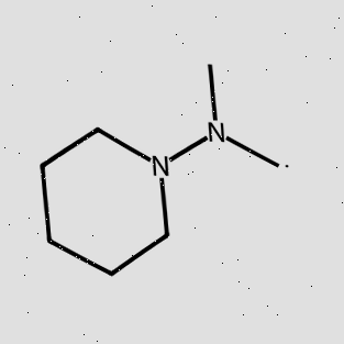 [CH2]N(C)N1CCCCC1